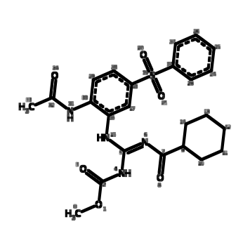 COC(=O)N/C(=N\C(=O)C1CCCCC1)Nc1cc(S(=O)(=O)c2ccccc2)ccc1NC(C)=O